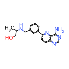 CC(CO)NCc1cccc(-c2ccc3ncnc(N)c3n2)c1